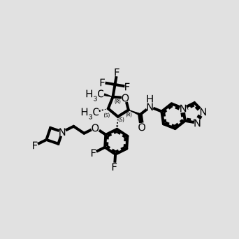 C[C@H]1[C@@H](c2ccc(F)c(F)c2OCCN2CC(F)C2)[C@H](C(=O)Nc2ccc3nncn3c2)O[C@@]1(C)C(F)(F)F